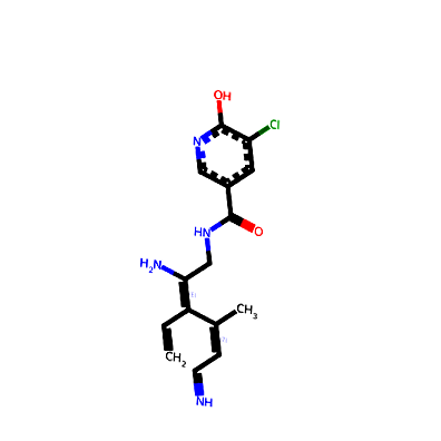 C=CC(/C(C)=C\C=N)=C(\N)CNC(=O)c1cnc(O)c(Cl)c1